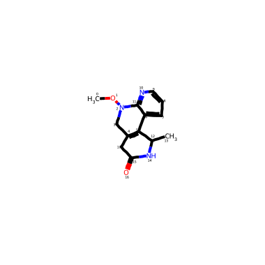 CON1CC2=C(c3cccnc31)C(C)NC(=O)C2